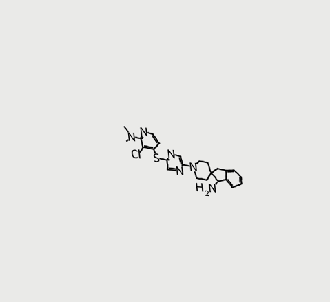 CN(C)c1nccc(Sc2cnc(N3CCC4(CC3)Cc3ccccc3[C@H]4N)cn2)c1Cl